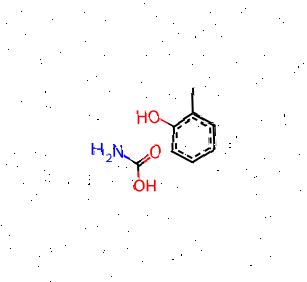 Cc1ccccc1O.NC(=O)O